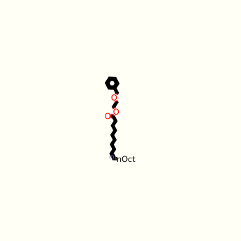 CCCCCCCC/C=C\CCCCCCCC(=O)OCCOCc1ccccc1